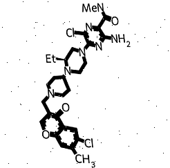 CC[C@H]1CN(c2nc(N)c(C(=O)NC)nc2Cl)CCN1C1CCN(Cc2coc3cc(C)c(Cl)cc3c2=O)CC1